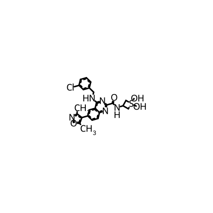 Cc1noc(C)c1-c1ccc2nc(C(=O)NC3CS(O)(O)C3)nc(NCc3cccc(Cl)c3)c2c1